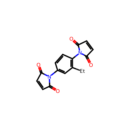 CCc1cc(N2C(=O)C=CC2=O)ccc1N1C(=O)C=CC1=O